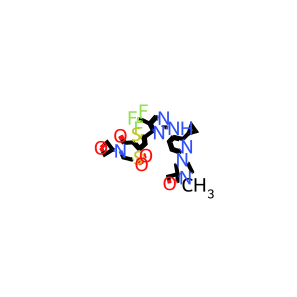 CN1CCN(c2ccc(Nc3ncc(C(F)(F)F)c(-c4cc5c(s4)C(=O)N(C4COC4)CCS5(=O)=O)n3)c(C3CC3)n2)CC12COC2